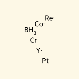 B.[Co].[Cr].[Pt].[Re].[Y]